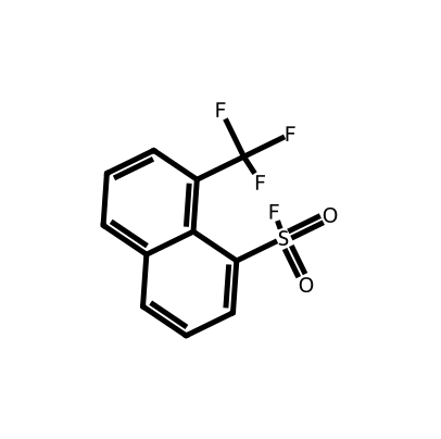 O=S(=O)(F)c1cccc2cccc(C(F)(F)F)c12